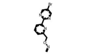 C=NOCc1cccc(-c2ncc(Br)cn2)n1